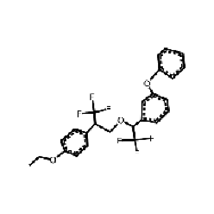 CCOc1ccc(C(COC(c2cccc(Oc3ccccc3)c2)C(F)(F)F)C(F)(F)F)cc1